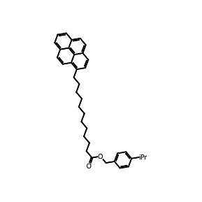 CC(C)c1ccc(COC(=O)CCCCCCCCCCCc2ccc3ccc4cccc5ccc2c3c45)cc1